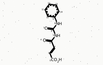 O=C(O)C=CC(=O)NC(=O)Nc1ccccc1